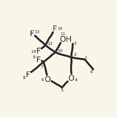 CCC1(C)OCOC(F)(F)C1(O)C(F)(F)F